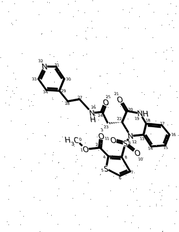 COC(=O)c1sccc1S(=O)(=O)N1c2ccccc2NC(=O)[C@H]1CC(=O)NCCc1ccncc1